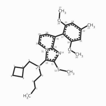 CCCCN(CC1CCC1)c1c(SC)nc2c(-c3c(OC)cc(C)cc3OC)cccn12